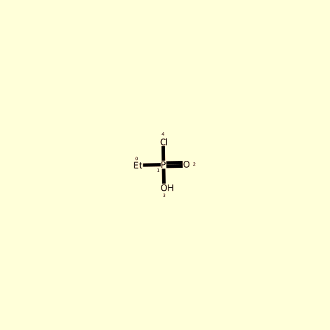 CCP(=O)(O)Cl